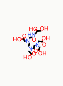 O=C(O)CN(CCN(CC(=O)O)CC(=O)O)CCN(CC(=O)O)CC(=O)NCC(O)CO